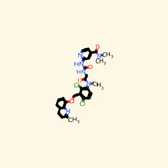 Cc1ccc2cccc(OCc3c(Cl)ccc(N(C)C(=O)CNC(=O)Nc4cc(C(=O)N(C)C)ccn4)c3Cl)c2n1